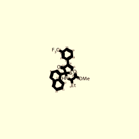 CCC(NC1(c2cccc3ccccc23)SC=C(c2cccc(C(F)(F)F)c2)C1=O)C(=O)OC